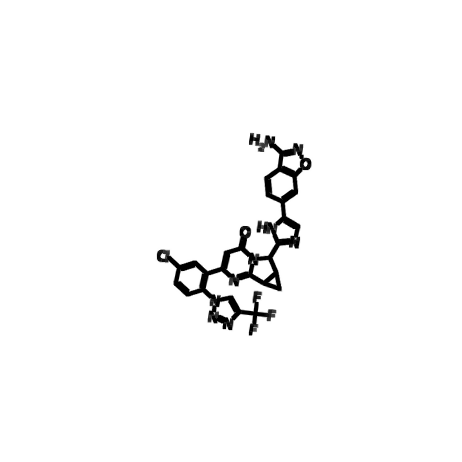 Nc1noc2cc(-c3cnc(C4C5CC5c5nc(-c6cc(Cl)ccc6-n6cc(C(F)(F)F)nn6)cc(=O)n54)[nH]3)ccc12